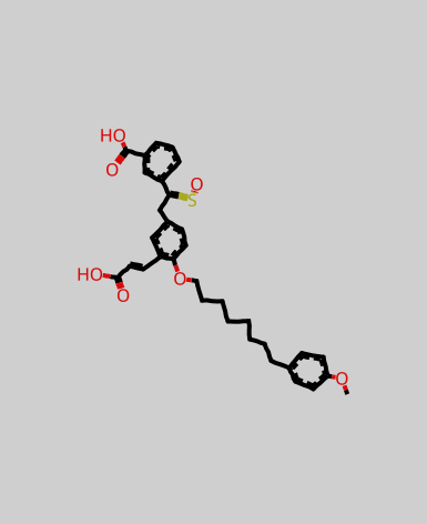 COc1ccc(CCCCCCCCOc2ccc(CC(=S=O)c3cccc(C(=O)O)c3)cc2C=CC(=O)O)cc1